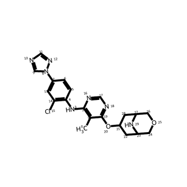 Cc1c(Nc2ccc(-n3cncn3)cc2Cl)ncnc1OC1CC2COCC(C1)N2